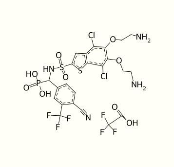 N#Cc1ccc(C(NS(=O)(=O)c2cc3c(Cl)c(OCCN)c(OCCN)c(Cl)c3s2)P(=O)(O)O)cc1C(F)(F)F.O=C(O)C(F)(F)F